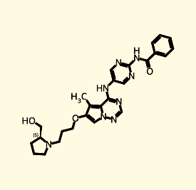 Cc1c(OCCCN2CCC[C@H]2CO)cn2ncnc(Nc3cnc(NC(=O)c4ccccc4)nc3)c12